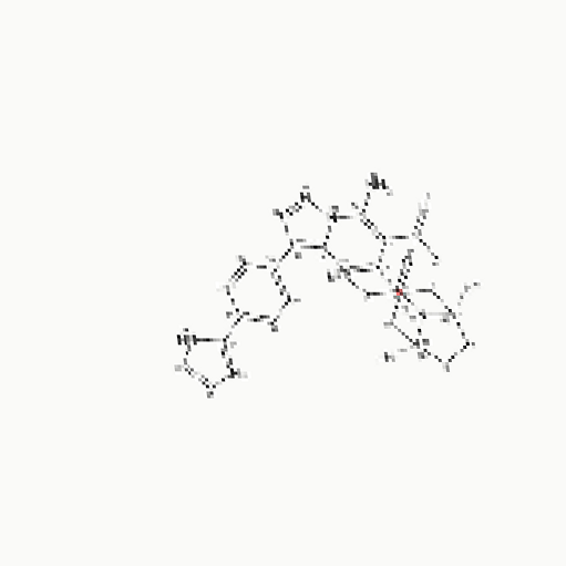 CC(=O)c1c([C@@H]2C[C@H]3CC[C@@H](C2)N3C(=O)CO)nc2c(-c3ccc(-c4ncc[nH]4)cc3)cnn2c1N